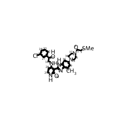 CSCC(=O)N1CCN(c2cc(C)c3nc(-c4c(NCC(O)c5cccc(Cl)c5)cc[nH]c4=O)[nH]c3c2)CC1